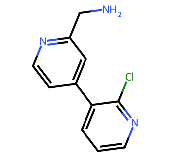 NCc1cc(-c2cccnc2Cl)ccn1